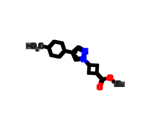 CC(C)(C)OC(=O)C1CC(n2cc(C3CCC(C(=O)O)CC3)cn2)C1